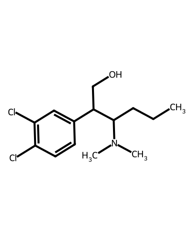 CCCC(C(CO)c1ccc(Cl)c(Cl)c1)N(C)C